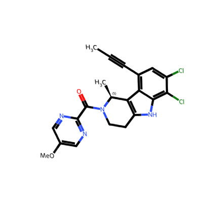 CC#Cc1cc(Cl)c(Cl)c2[nH]c3c(c12)[C@H](C)N(C(=O)c1ncc(OC)cn1)CC3